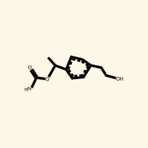 CCCC(=O)OC(C)c1ccc(CCO)cc1